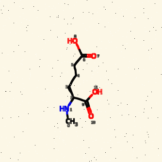 CN[C@@H](CCCC(=O)O)C(=O)O